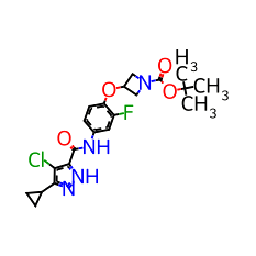 CC(C)(C)OC(=O)N1CC(Oc2ccc(NC(=O)c3[nH]nc(C4CC4)c3Cl)cc2F)C1